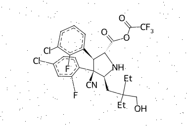 CCC(CC)(CO)C[C@@H]1N[C@@H](C(=O)OC(=O)C(F)(F)F)[C@H](c2cccc(Cl)c2F)[C@@]1(C#N)c1ccc(Cl)cc1F